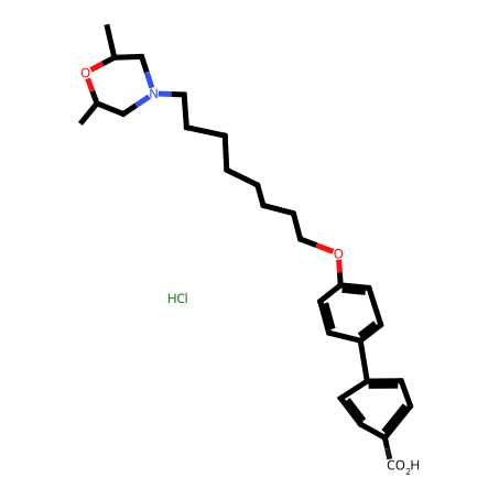 CC1CN(CCCCCCCCOc2ccc(-c3ccc(C(=O)O)cc3)cc2)CC(C)O1.Cl